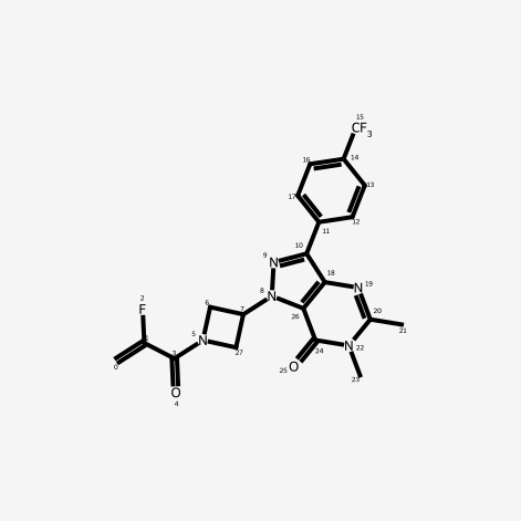 C=C(F)C(=O)N1CC(n2nc(-c3ccc(C(F)(F)F)cc3)c3nc(C)n(C)c(=O)c32)C1